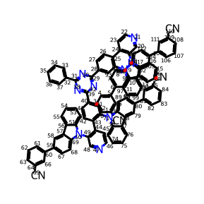 N#Cc1cccc(-c2ccc3c(c2)c2ccccc2n3-c2cnccc2-c2ccc(-c3nc(-c4ccccc4)nc(-c4ccc(-c5ccncc5-n5c6ccccc6c6cc(-c7cccc(C#N)c7)ccc65)c(-n5c6ccccc6c6cc(-c7cccc(C#N)c7)ccc65)c4)n3)cc2-n2c3ccccc3c3cc(-c4cccc(C#N)c4)ccc32)c1